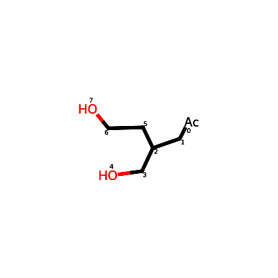 CC(=O)CC(CO)CCO